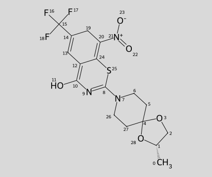 C[C@H]1COC2(CCN(C3=NC(O)=C4C=C(C(F)(F)F)CC([N+](=O)[O-])=C4S3)CC2)O1